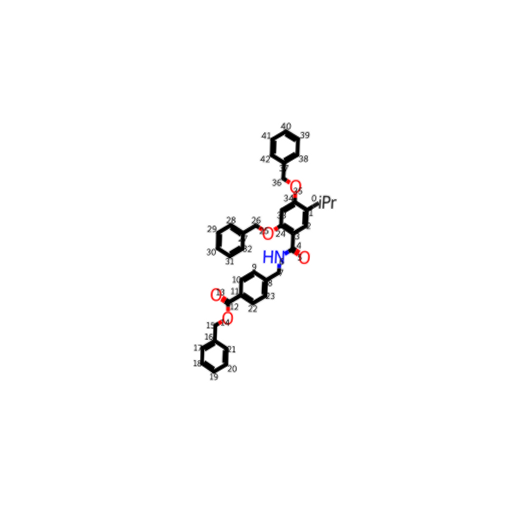 CC(C)c1cc(C(=O)NCc2ccc(C(=O)OCc3ccccc3)cc2)c(OCc2ccccc2)cc1OCc1ccccc1